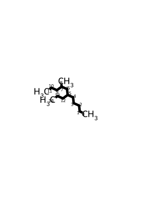 CCCCCC([CH]C(C)CCC)CCC